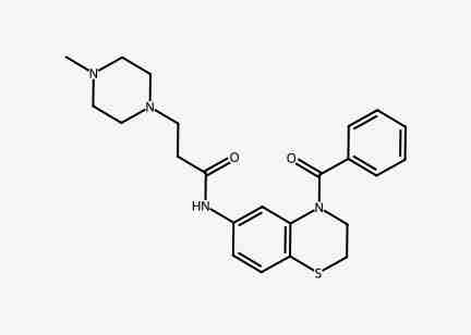 CN1CCN(CCC(=O)Nc2ccc3c(c2)N(C(=O)c2ccccc2)CCS3)CC1